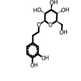 OC[C@H]1O[C@@H](OCCc2ccc(O)c(O)c2)[C@H](O)[C@@H](O)[C@@H]1O